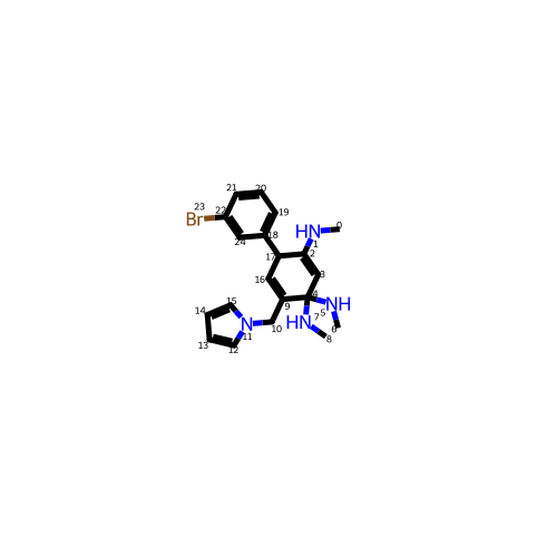 CNC1=CC(NC)(NC)C(Cn2cccc2)=CC1c1cccc(Br)c1